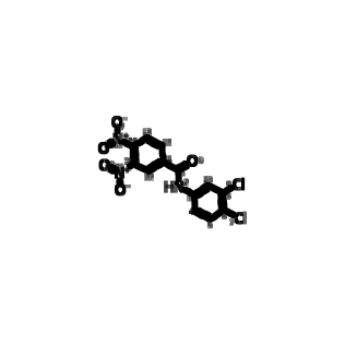 O=C(Nc1ccc(Cl)c(Cl)c1)c1ccc([N+](=O)[O-])c([N+](=O)[O-])c1